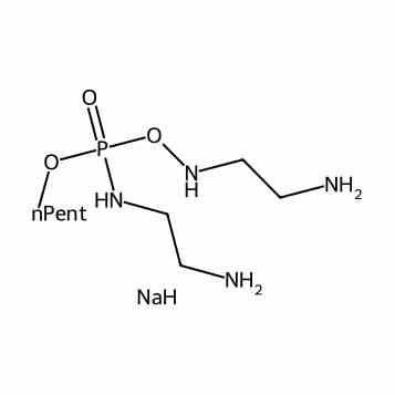 CCCCCOP(=O)(NCCN)ONCCN.[NaH]